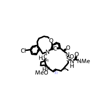 CNC(=O)NS1(=O)=NC(=O)c2ccc3c(c2)N(Cc2ccc(Cl)cc2CCCCO3)C[C@@H]2CC[C@H]2[C@@H](OC)/C=C/C[C@H](C)C1